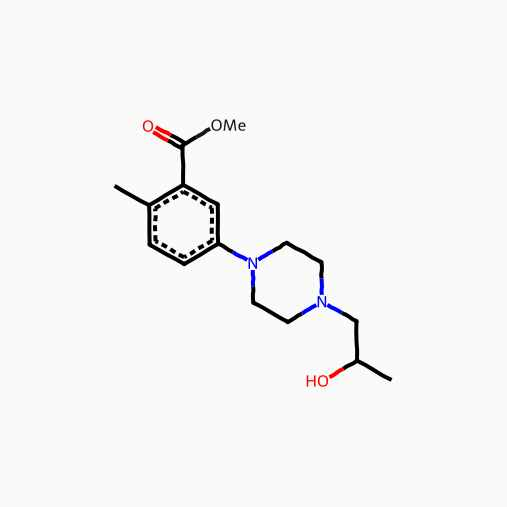 COC(=O)c1cc(N2CCN(CC(C)O)CC2)ccc1C